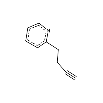 [C]#CCCc1ccccn1